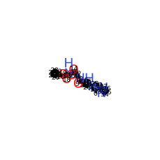 C[C@H]1CN(c2ccc(C(=O)NCCC(=O)ONC(=O)OCc3ccccc3)cc2)CCN1c1ncccn1